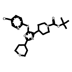 CC(C)(C)OC(=O)N1CCC(c2nc(C3CCOCC3)oc2Sc2ccc(Cl)cn2)CC1